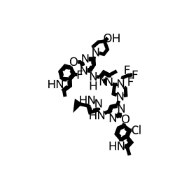 Cc1cc2c(F)c(Oc3nc(Nc4cc(C)n(C5CN(c6cc(Nc7cc(C8CC8)[nH]n7)nc(Oc7ccc8[nH]c(C)cc8c7Cl)n6)CCN5CC(F)(F)F)n4)cc(N4CCC(O)CC4)n3)ccc2[nH]1